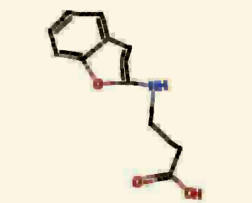 O=C(O)CCNc1cc2ccccc2o1